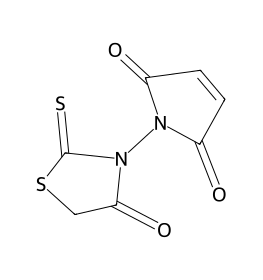 O=C1C=CC(=O)N1N1C(=O)CSC1=S